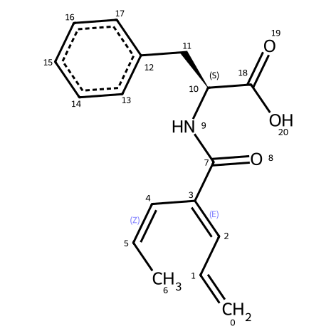 C=C/C=C(\C=C/C)C(=O)N[C@@H](Cc1ccccc1)C(=O)O